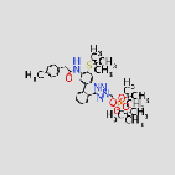 Cc1ccc(CC(=O)Nc2cc(-c3ccccc3-c3nnn(COP(=O)(OC(C)(C)C)OC(C)(C)C)n3)ccc2SC(C)(C)C)cc1